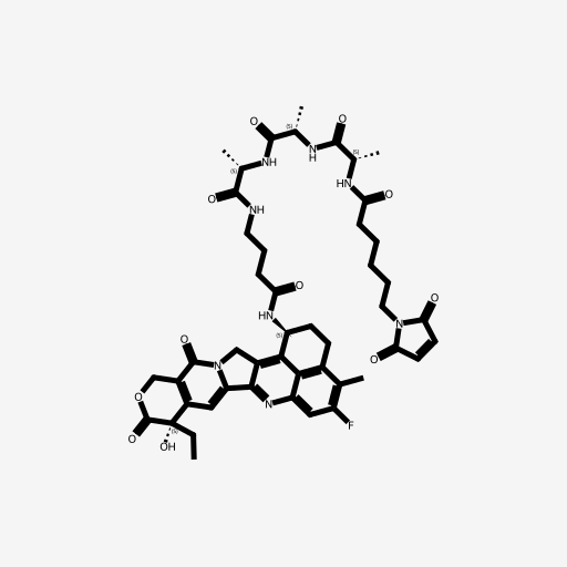 CC[C@@]1(O)C(=O)OCc2c1cc1n(c2=O)Cc2c-1nc1cc(F)c(C)c3c1c2[C@@H](NC(=O)CCCNC(=O)[C@H](C)NC(=O)[C@H](C)NC(=O)[C@H](C)NC(=O)CCCCCN1C(=O)C=CC1=O)CC3